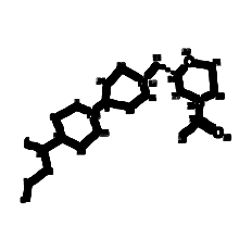 CCCC(C)C1CCN(C2CCN(C[C@H]3CN(C(C)=O)CCO3)CC2)CC1